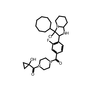 O=C(c1ccc(C2NC3CCCCN3C2(Cl)C2CCCCCCC2)c(F)c1)N1CCN(C(=O)C2(O)CC2)CC1